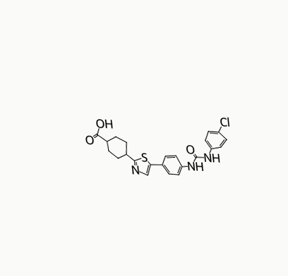 O=C(Nc1ccc(Cl)cc1)Nc1ccc(-c2cnc(C3CCC(C(=O)O)CC3)s2)cc1